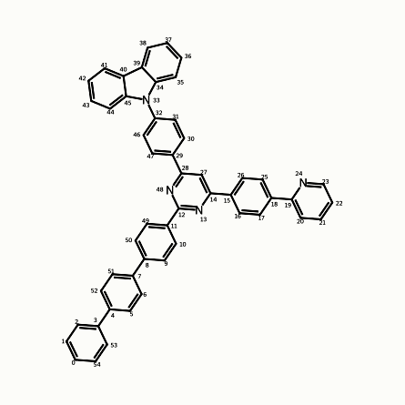 c1ccc(-c2ccc(-c3ccc(-c4nc(-c5ccc(-c6ccccn6)cc5)cc(-c5ccc(-n6c7ccccc7c7ccccc76)cc5)n4)cc3)cc2)cc1